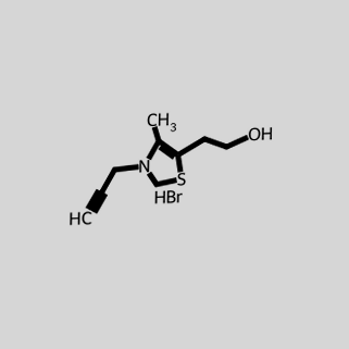 Br.C#CCN1CSC(CCO)=C1C